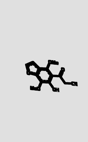 COc1c(C(=O)CC#N)c(O)c(OC)c2occc12